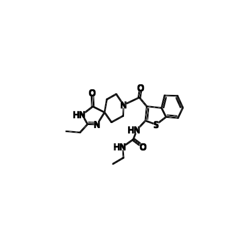 CCNC(=O)Nc1sc2ccccc2c1C(=O)N1CCC2(CC1)N=C(CC)NC2=O